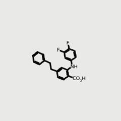 O=C(O)c1ccc(CCc2ccccc2)cc1Nc1ccc(F)c(F)c1